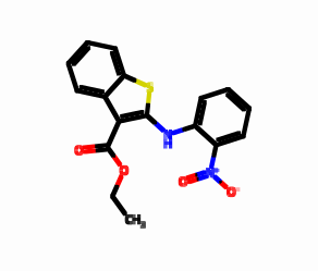 CCOC(=O)c1c(Nc2ccccc2[N+](=O)[O-])sc2ccccc12